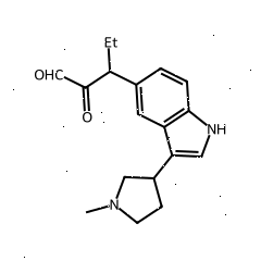 CCC(C(=O)C=O)c1ccc2[nH]cc(C3CCN(C)C3)c2c1